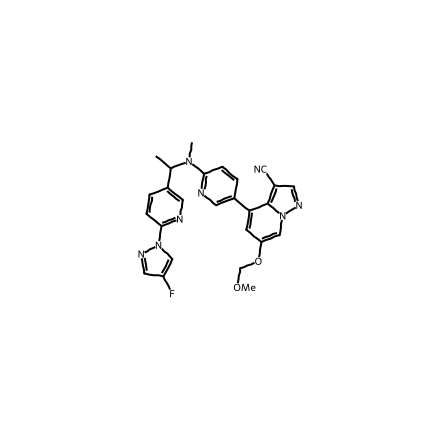 COCOc1cc(-c2ccc(N(C)C(C)c3ccc(-n4cc(F)cn4)nc3)nc2)c2c(C#N)cnn2c1